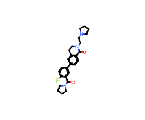 O=C(c1cc(-c2ccc3c(c2)CCN(CCN2CCCC2)C3=O)ccc1F)N1CCCC1